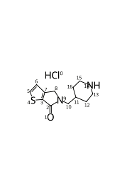 Cl.O=C1c2sccc2CN1CC1CCNCC1